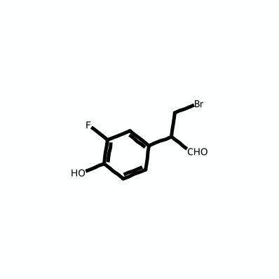 O=CC(CBr)c1ccc(O)c(F)c1